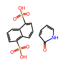 O=S(=O)(O)c1cccc2c(S(=O)(=O)O)cccc12.O=c1cccc[nH]1